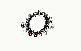 CC[C@H](C)[C@H]1C(=O)CNC[C@@H](C)C(=O)N(C)C(CC(C)C)C(=O)N[C@@H]([C@@H](C)O)C(=O)N[C@@H](Cc2ccccc2)C(=O)N(C)[C@@H](Cc2ccccc2)C(=O)N(C)C[C@@H](CC(C)C)C(=O)N[C@@H](COC(C)(C)C)C(=O)N(C)[C@@H](CC(C)C)C(=O)N[C@@H](C)C(=O)N[C@@H](C)C(=O)N[C@H](C(C)C)C(=O)N1C